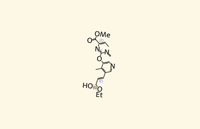 C=N/C(=N\C(=C/C)C(=O)OC)Oc1cncc(/C=C/[C@@H](O)OCC)c1C